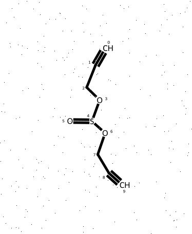 C#CCOS(=O)OCC#C